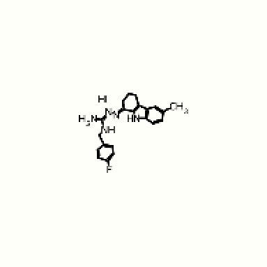 Cc1ccc2[nH]c3c(c2c1)CCCC3=NN=C(N)NCc1ccc(F)cc1.I